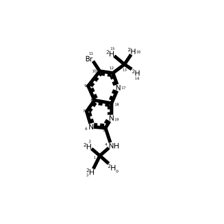 [2H]C([2H])([2H])Nc1ncc2cc(Br)c(C([2H])([2H])[2H])nc2n1